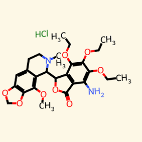 CCOc1c(N)c2c(c(OCC)c1OCC)C(C1c3c(cc4c(c3OC)OCO4)CCN1C)OC2=O.Cl